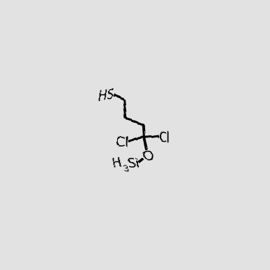 [SiH3]OC(Cl)(Cl)CCCS